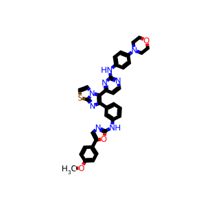 COc1ccc(-c2cnc(Nc3cccc(-c4nc5sccn5c4-c4ccnc(Nc5ccc(N6CCOCC6)cc5)n4)c3)o2)cc1